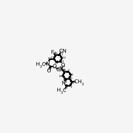 Cc1cc(C)c2ccc(COc3cc(C#N)c(F)c(CN(C)C(=O)OC(C)(C)C)c3)cc2n1